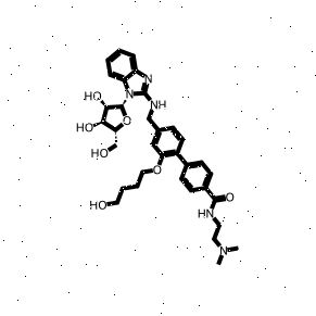 CN(C)CCNC(=O)c1ccc(-c2ccc(CNc3nc4ccccc4n3[C@@H]3O[C@H](CO)[C@@H](O)[C@H]3O)cc2OCCCCO)cc1